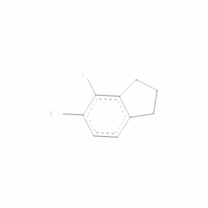 Fc1c(S)ccc2c1CCC2